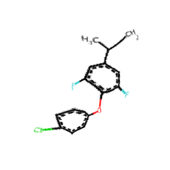 CC(C)c1cc(F)c(Oc2ccc(Cl)cc2)c(F)c1